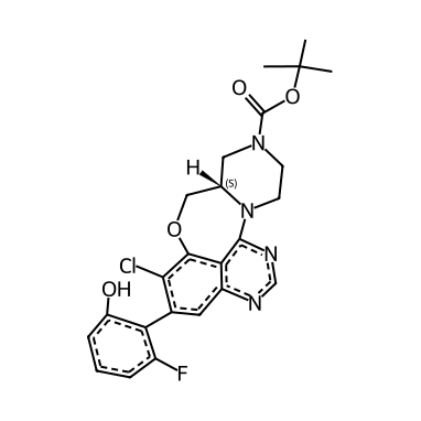 CC(C)(C)OC(=O)N1CCN2c3ncnc4cc(-c5c(O)cccc5F)c(Cl)c(c34)OC[C@@H]2C1